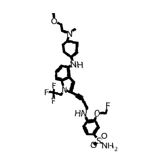 COCCN(C)C1CCC(Nc2cccc3c2cc(C#CCNc2ccc(S(N)(=O)=O)cc2OCF)n3CC(F)(F)F)CC1